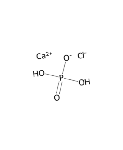 O=P([O-])(O)O.[Ca+2].[Cl-]